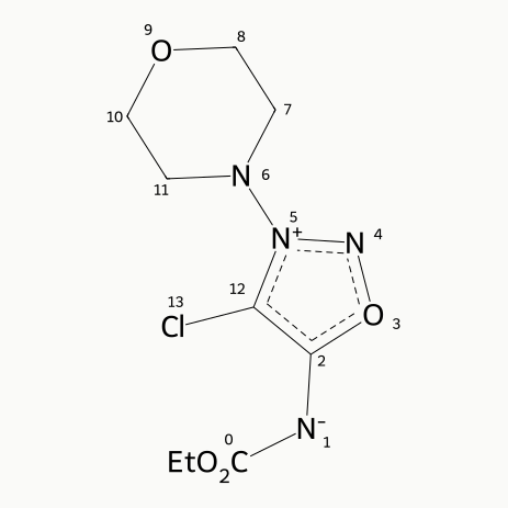 CCOC(=O)[N-]c1on[n+](N2CCOCC2)c1Cl